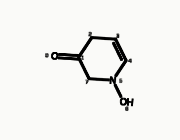 O=C1CC=CN(O)C1